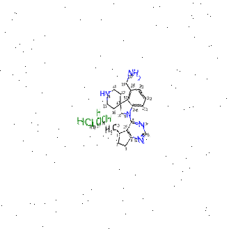 CC1CCc2ncnc(N3CC4(CCNCC4)c4c(CN)cccc43)c21.Cl.Cl.Cl